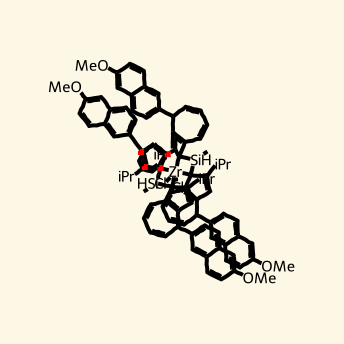 COc1ccc2cc(C3C=CC=CC4=C3C=C(C(C)C)[C]43[SiH](C)[C]4(C(C(C)C)=CC5=C4C=CC=CC5c4ccc5cc(OC)ccc5c4)[Zr]34([Cl])([Cl])[C]3(C(C(C)C)=CC5=C3C=CC=CC5c3ccc5cc(OC)ccc5c3)[SiH](C)[C]43C(C(C)C)=CC4=C3C=CC=CC4c3ccc4cc(OC)ccc4c3)ccc2c1